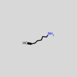 C#CCCCCCN